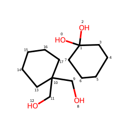 OC1(O)CCCCC1.OCC1(CO)CCCCC1